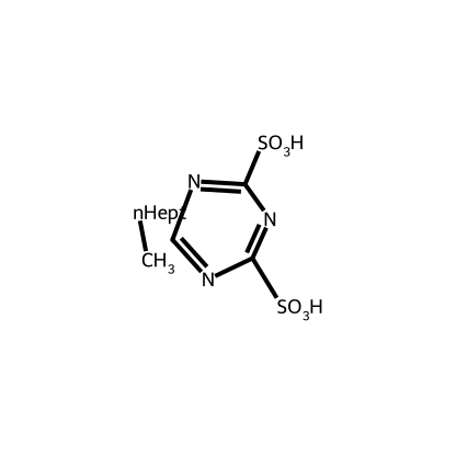 CCCCCCCC.O=S(=O)(O)c1ncnc(S(=O)(=O)O)n1